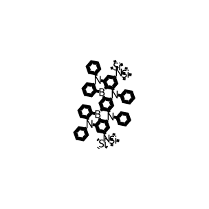 C[Si](C)(C)N(c1cc2c3c(c1)N(c1ccccc1)c1cc4c(cc1B3c1ccccc1N2c1ccccc1)B1c2ccccc2N(c2ccccc2)c2cc(N([Si](C)(C)C)[Si](C)(C)C)cc(c21)N4c1ccccc1)[Si](C)(C)C